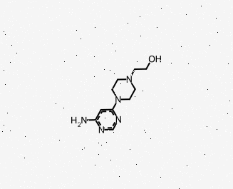 Nc1cc(N2CCN(CCO)CC2)ncn1